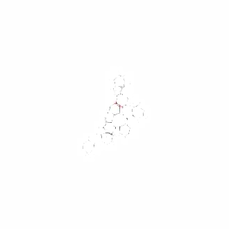 c1ccc(-c2ccc(-c3cccc(N(c4ccccc4-c4ccc5oc6ccccc6c5c4)c4cccc5oc6ccccc6c45)c3)cc2)cc1